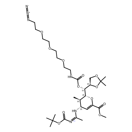 COC(=O)C1=C[C@H](N/C(C)=N\C(=O)OC(C)(C)C)[C@@H](C)[C@H]([C@H](OC(=O)NCCOCCOCCOCCN=[N+]=[N-])[C@H]2COC(C)(C)O2)O1